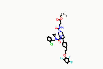 CCOC(=O)CCNC(=O)N1CC2CC(c3ccc(CCCOc4c(F)ccc(F)c4F)cc3)=C(C(=O)N(Cc3ccccc3Cl)C3CC3)C(C1)N2